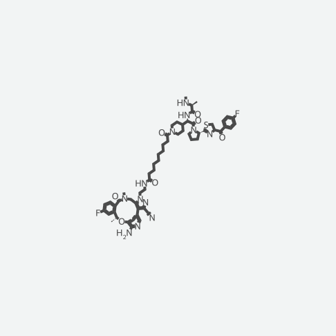 CN[C@@H](C)C(=O)N[C@H](C(=O)N1CCC[C@H]1C1=NC(C(=O)c2ccc(F)cc2)CS1)C1CCN(C(=O)CCCCCCCCC(=O)NCCn2nc(C#N)c3c2CN(C)C(=O)c2ccc(F)cc2[C@@H](C)Oc2cc-3cnc2N)CC1